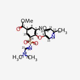 COC(=O)c1cc([N+](=O)[O-])c(Oc2ccc(C)nc2)c(S(=O)(=O)N=CN(C)C)c1